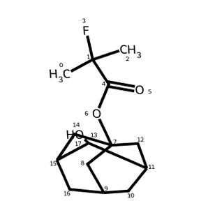 CC(C)(F)C(=O)OC12CC3CC(C1)C(O)C(C3)C2